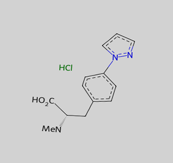 CN[C@@H](Cc1ccc(-n2cccn2)cc1)C(=O)O.Cl